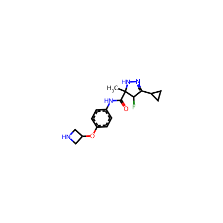 CC1(C(=O)Nc2ccc(OC3CNC3)cc2)NN=C(C2CC2)C1F